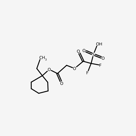 CCC1(OC(=O)COC(=O)C(F)(F)S(=O)(=O)O)CCCCC1